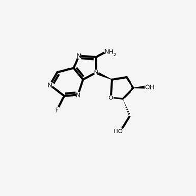 Nc1nc2cnc(F)nc2n1[C@H]1C[C@@H](O)[C@H](CO)O1